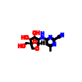 Cc1cc(N[C@H]2[C@H]3OC[C@](CO)(O3)[C@H](O)[C@@H]2O)nc(C#N)n1